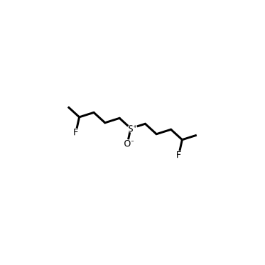 CC(F)CCC[S+]([O-])CCCC(C)F